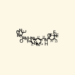 Cc1nonc1C(=O)NCc1cn2ncc(CNC(=O)C[C@H](C)C(F)(F)F)cc2n1